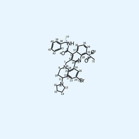 C[C@H](NC(=O)c1c(CN2CCC(N3CCCC3)CC2)c(-c2cccc(Br)c2)nc2c(S(C)(=O)=O)cccc12)c1ccccc1